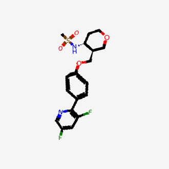 CS(=O)(=O)N[C@@H]1CCOC[C@H]1COc1ccc(-c2ncc(F)cc2F)cc1